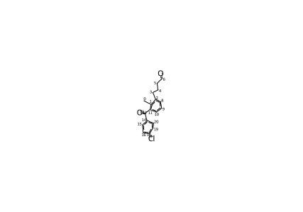 Cc1c(CCCC=O)cccc1C(=O)c1ccc(Cl)cc1